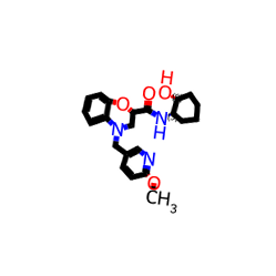 COc1ccc(CN2CC(C(=O)N[C@H]3CCCC[C@@H]3O)Oc3ccccc32)cn1